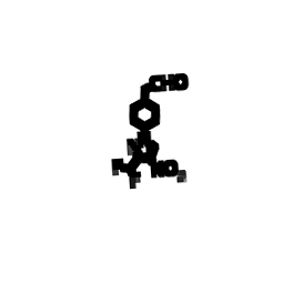 O=CCC1CCC(n2cc([N+](=O)[O-])c(C(F)F)n2)CC1